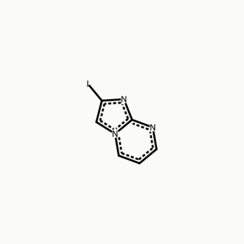 Ic1cn2cccnc2n1